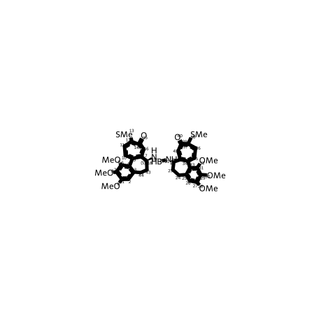 COc1cc2c(c(OC)c1OC)-c1ccc(SC)c(=O)cc1[C@@H](NBN[C@H]1CCc3cc(OC)c(OC)c(OC)c3-c3ccc(SC)c(=O)cc31)CC2